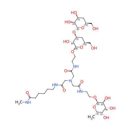 CNC(=O)CCCCCNC(=O)CN(CC(=O)NCCO[C@@H]1O[C@@H](C)[C@@H](O)[C@@H](O)[C@@H]1O)CC(=O)NCCO[C@@H]1O[C@H](CO)C[C@H](O[C@H]2O[C@H](CO)C[C@H](O)[C@@H]2O)[C@H]1O